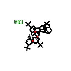 Cl.Cl.[CH2]=[Zr]([C]1=C(C)C(CC23CC4CC(CC(C4)C2)C3)=CC1C)([c]1ccc(C(C)(C)C)cc1)([c]1ccc(C(C)(C)C)cc1)[c]1cc(C(C)(C)C)cc2c1Cc1ccc(C(C)(C)C)cc1-2